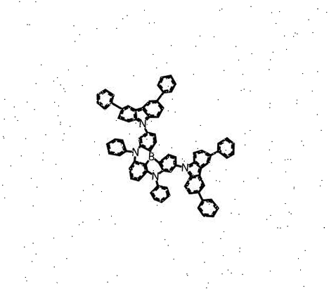 c1ccc(-c2ccc3c(c2)c2cc(-c4ccccc4)ccc2n3-c2ccc3c(c2)N(c2ccccc2)c2cccc4c2B3c2ccc(-n3c5ccc(-c6ccccc6)cc5c5cc(-c6ccccc6)ccc53)cc2N4c2ccccc2)cc1